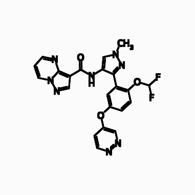 Cn1cc(NC(=O)c2cnn3cccnc23)c(-c2cc(Oc3ccnnc3)ccc2OC(F)F)n1